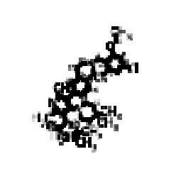 CCOc1cc(Cl)cc(Cl)c1CN1CCc2cc(-c3c(C)nc(C)c([C@H](OC(C)(C)C)C(=O)O)c3N3CCC(C)(C)CC3)ccc2C1